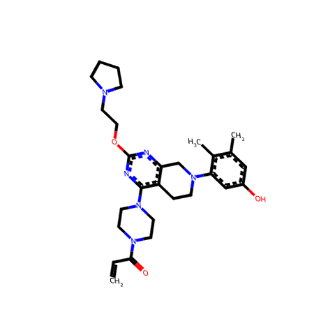 C=CC(=O)N1CCN(c2nc(OCCN3CCCC3)nc3c2CCN(c2cc(O)cc(C)c2C)C3)CC1